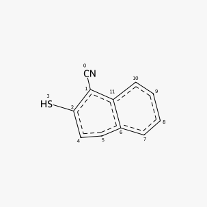 N#Cc1c(S)ccc2ccccc12